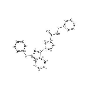 O=C(NCc1ccccc1)c1ccc(-c2nn(Cc3ccccc3)c3ccccc23)o1